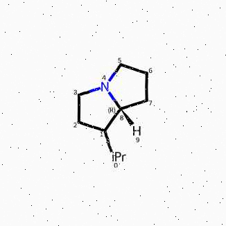 CC(C)C1CCN2CCC[C@H]12